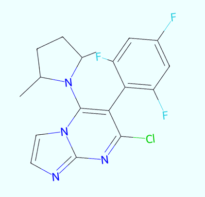 CC1CCC(C)N1c1c(-c2c(F)cc(F)cc2F)c(Cl)nc2nccn12